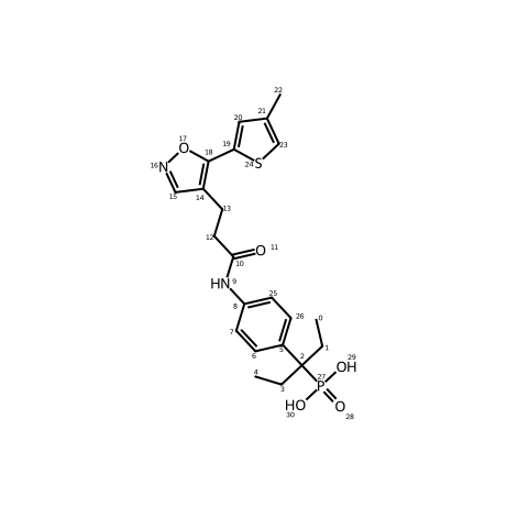 CCC(CC)(c1ccc(NC(=O)CCc2cnoc2-c2cc(C)cs2)cc1)P(=O)(O)O